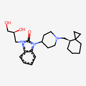 O=c1n(C[C@H](O)CO)c2ccccc2n1C1CCN(C[C@@H]2CCCCC23CC3)CC1